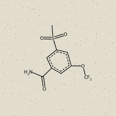 CS(=O)(=O)c1cc(OC(F)(F)F)cc(C(N)=O)c1